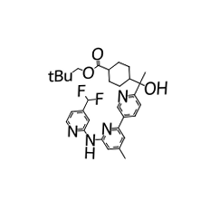 Cc1cc(Nc2cc(C(F)F)ccn2)nc(-c2ccc(C(C)(O)C3CCC(C(=O)OCC(C)(C)C)CC3)nc2)c1